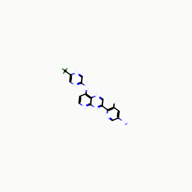 [C-]#[N+]c1cnc(-c2cnc3c(Nc4cnc(C(F)(F)F)cn4)ccnc3n2)c(C)c1